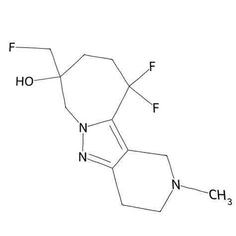 CN1CCc2nn3c(c2C1)C(F)(F)CCC(O)(CF)C3